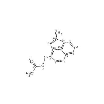 CC(=O)OCc1ccc2cccc3c2c1C=C3C